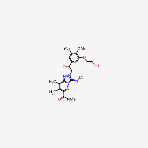 CC/N=c1\n(CC(=O)c2cc(OCCO)c(OC)c(C(C)(C)C)c2)nc2c(C)c(C)c(C(=O)NC)nn12